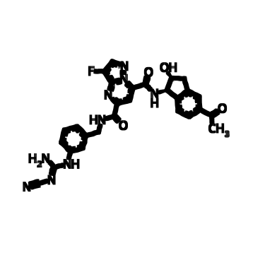 CC(=O)c1ccc2c(c1)C[C@H](O)[C@@H]2NC(=O)c1cc(C(=O)NCc2cccc(N/C(N)=N/C#N)c2)nc2c(F)cnn12